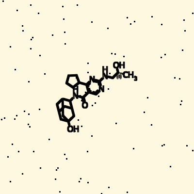 C[C@@H](O)CNc1ncc(C(=O)NC2C3CC4CC2CC(O)(C4)C3)c(C2CCCC2)n1